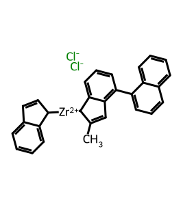 CC1=Cc2c(-c3cccc4ccccc34)cccc2[CH]1[Zr+2][CH]1C=Cc2ccccc21.[Cl-].[Cl-]